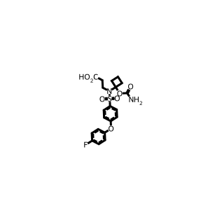 NC(=O)OC1(N(CCC(=O)O)S(=O)(=O)c2ccc(Oc3ccc(F)cc3)cc2)CCC1